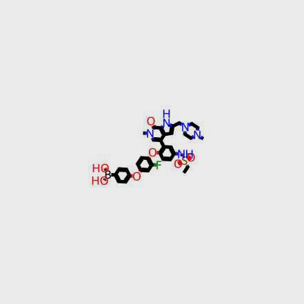 CCS(=O)(=O)Nc1ccc(Oc2ccc(Oc3ccc(B(O)O)cc3)cc2F)c(-c2cn(C)c(=O)c3[nH]c(CN4CCN(C)CC4)cc23)c1